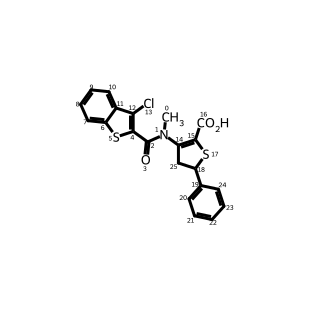 CN(C(=O)c1sc2ccccc2c1Cl)C1=C(C(=O)O)SC(c2ccccc2)C1